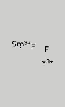 [F-].[F-].[Sm+3].[Y+3]